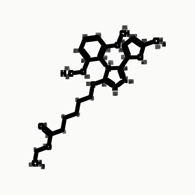 CCOC(=O)CCCCCSc1nnc(-c2ccc(C)o2)n1-c1c(OC)cccc1OC